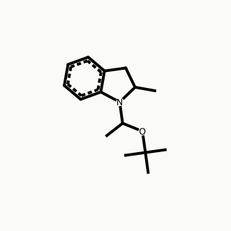 CC1Cc2ccccc2N1C(C)OC(C)(C)C